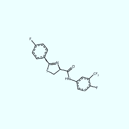 O=C(Nc1ccc(F)c(C(F)(F)F)c1)C1CSC(c2ccc(F)cc2)=N1